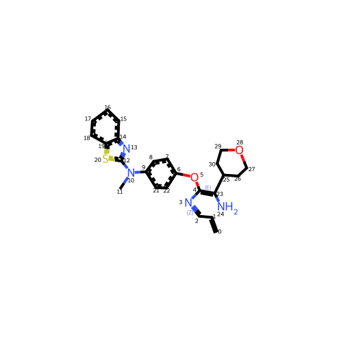 C=C/C=N\C(Oc1ccc(N(C)c2nc3ccccc3s2)cc1)=C(/N)C1CCOCC1